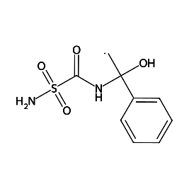 [CH2]C(O)(NC(=O)S(N)(=O)=O)c1ccccc1